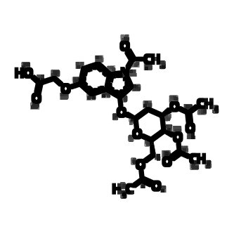 CC(=O)OC[C@H]1O[C@@H](Oc2cn(C(C)=O)c3ccc(OCC(=O)O)cc23)C[C@@H](OC(C)=O)[C@H]1OC(C)=O